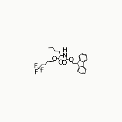 CCCCC(NC(=O)OCC1c2ccccc2-c2ccccc21)C(=O)OCCCCC(F)(F)F